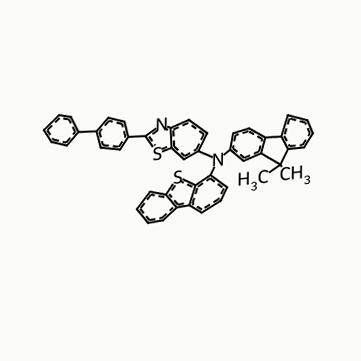 CC1(C)c2ccccc2-c2ccc(N(c3ccc4nc(-c5ccc(-c6ccccc6)cc5)sc4c3)c3cccc4c3sc3ccccc34)cc21